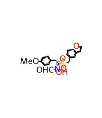 COc1ccc(C[C@@H](N(O)C=O)S(=O)(=O)Cc2ccc3occc3c2)cc1